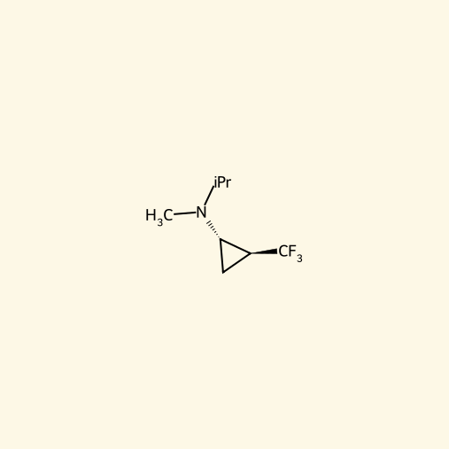 CC(C)N(C)[C@H]1C[C@@H]1C(F)(F)F